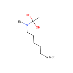 CCCCCCCCCCCCN(CC)C(C)(O)O